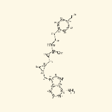 Nc1ncnc2c1ncn2CC1CC1COC(=O)NCCc1ccc(F)cc1